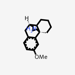 COc1ccc2c(c1)[C@]13CCCC[C@]1(N)[C@@H](CCC3)C2